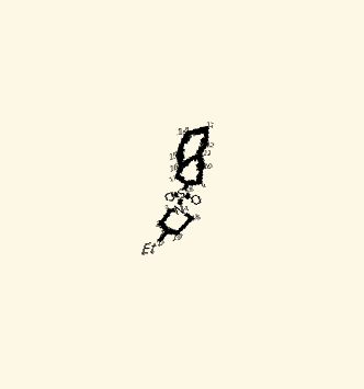 CCC1CCN(S(=O)(=O)c2ccc3ccccc3c2)CC1